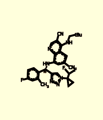 Cc1cc(F)ccc1[C@H](Nc1cc(C#N)cc2c(NCC(C)(C)C)c(C#N)cnc12)c1cn(C2(C(F)F)CC2)nn1